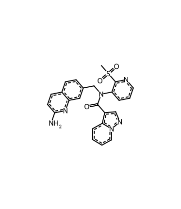 CS(=O)(=O)c1ncccc1N(Cc1ccc2ccc(N)nc2c1)C(=O)c1cnn2ccccc12